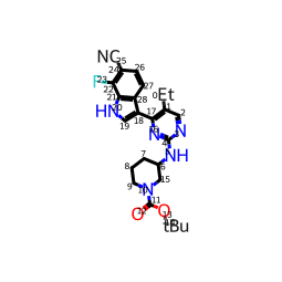 CCc1cnc(NC2CCCN(C(=O)OC(C)(C)C)C2)nc1-c1c[nH]c2c(F)c(C#N)ccc12